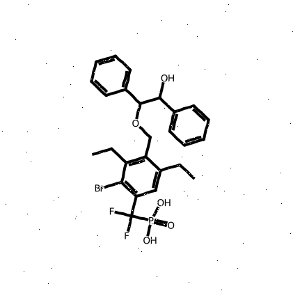 CCc1cc(C(F)(F)P(=O)(O)O)c(Br)c(CC)c1COC(c1ccccc1)C(O)c1ccccc1